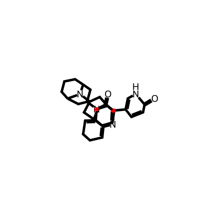 O=c1ccc(-c2nc3c(n(C4CC5CCCC(C4)N5C4CC5CCCC(C5)C4)c2=O)=CCCC=3)c[nH]1